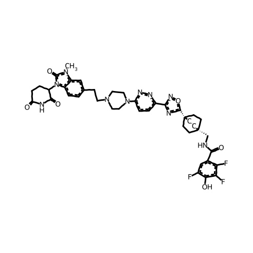 Cn1c(=O)n(C2CCC(=O)NC2=O)c2ccc(CCN3CCN(c4ccc(-c5noc([C@]67CC[C@](CNC(=O)c8cc(F)c(O)c(F)c8F)(CC6)CC7)n5)nn4)CC3)cc21